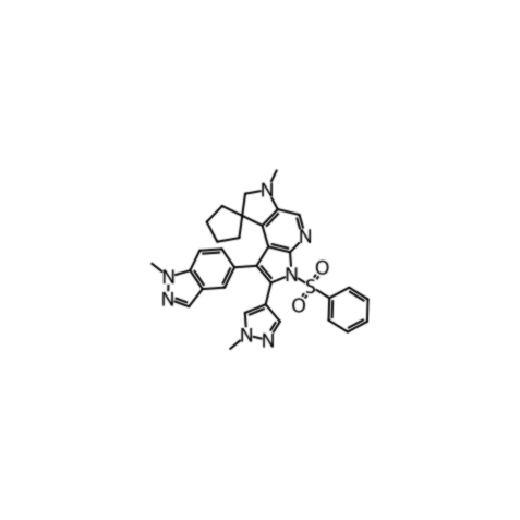 CN1CC2(CCCC2)c2c1cnc1c2c(-c2ccc3c(cnn3C)c2)c(-c2cnn(C)c2)n1S(=O)(=O)c1ccccc1